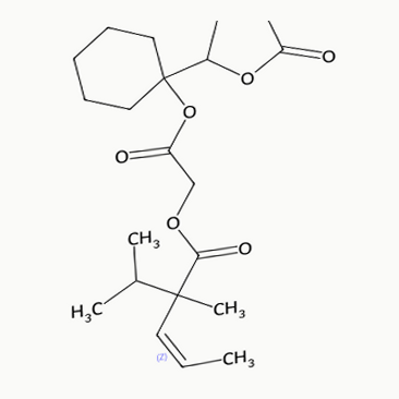 C/C=C\C(C)(C(=O)OCC(=O)OC1(C2CCC(=O)O2)CCCCC1)C(C)C